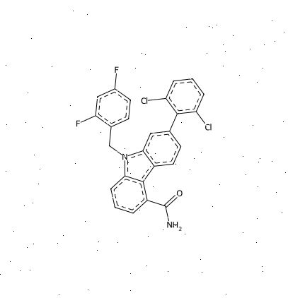 NC(=O)c1cccc2c1c1[c]cc(-c3c(Cl)cccc3Cl)cc1n2Cc1ccc(F)cc1F